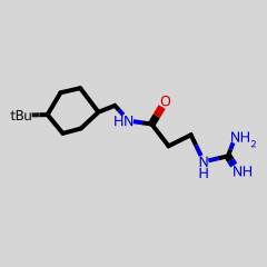 CC(C)(C)C1CCC(CNC(=O)CCNC(=N)N)CC1